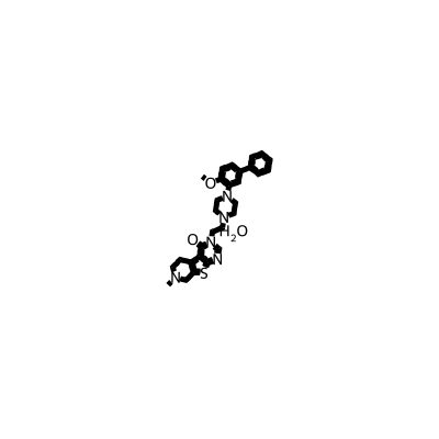 COc1ccc(-c2ccccc2)cc1N1CCN(CCn2cnc3sc4c(c3c2=O)CCN(C)C4)CC1.O